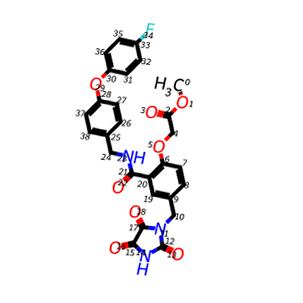 COC(=O)COc1ccc(CN2C(=O)NC(=O)C2=O)cc1C(=O)NCc1ccc(Oc2ccc(F)cc2)cc1